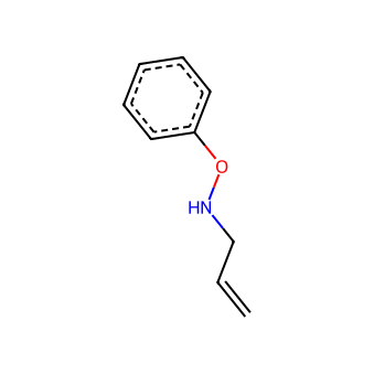 C=CCNOc1ccccc1